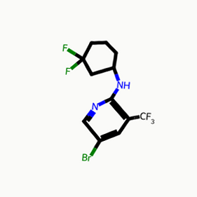 FC1(F)CCCC(Nc2ncc(Br)cc2C(F)(F)F)C1